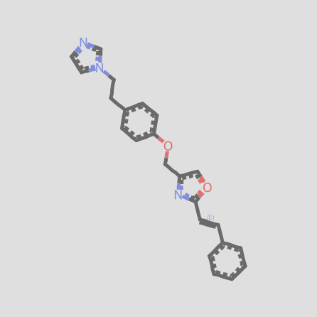 C(=C\c1nc(COc2ccc(CCn3ccnc3)cc2)co1)/c1ccccc1